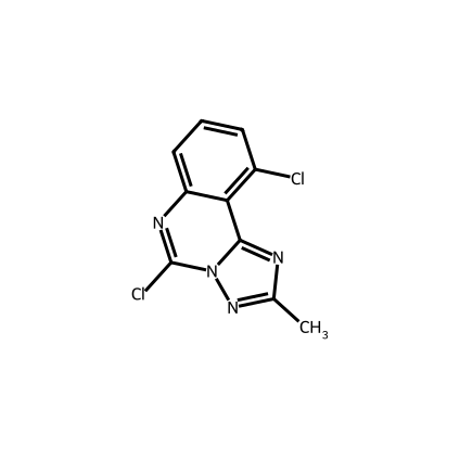 Cc1nc2c3c(Cl)cccc3nc(Cl)n2n1